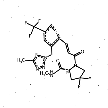 CNC(=O)[C@@H]1CC(F)(F)CN1C(=O)C=Cc1ccc(C(F)(F)F)cc1Cn1nnc(C)n1